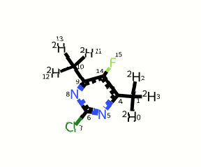 [2H]C([2H])([2H])c1nc(Cl)nc(C([2H])([2H])[2H])c1F